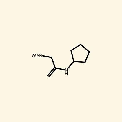 C=C(CNC)NC1CCCC1